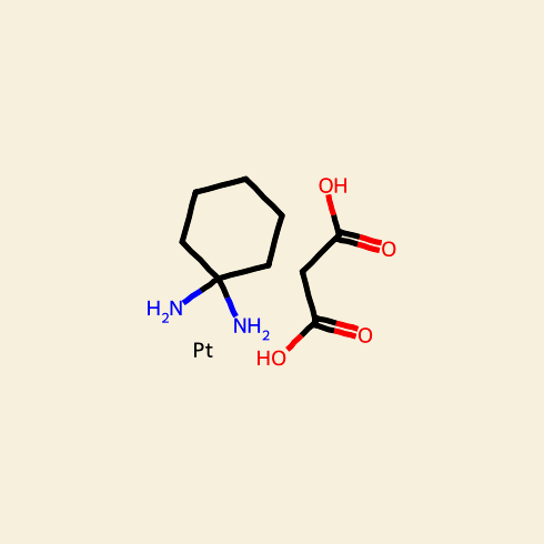 NC1(N)CCCCC1.O=C(O)CC(=O)O.[Pt]